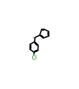 Clc1ccc([C]c2ccccc2)cc1